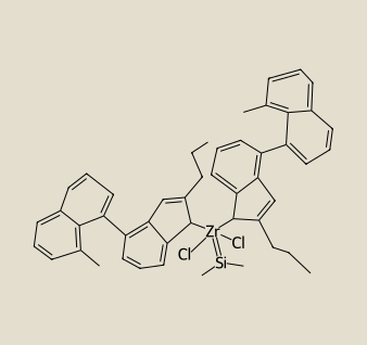 CCCC1=Cc2c(-c3cccc4cccc(C)c34)cccc2[CH]1[Zr]([Cl])([Cl])([CH]1C(CCC)=Cc2c(-c3cccc4cccc(C)c34)cccc21)=[Si](C)C